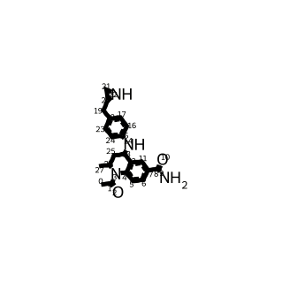 CC(=O)N1c2ccc(C(N)=O)cc2C(Nc2ccc(CC3CN3)cc2)CC1C